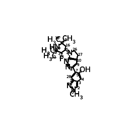 Cn1cc2cc(O)c(-c3cc4c(nn3)N([C@H]3CC(C)(C)NC(C)(C)[C@H]3F)CC4)cc2n1